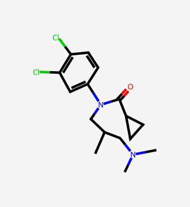 CC(CN(C)C)CN(C(=O)C1CC1)c1ccc(Cl)c(Cl)c1